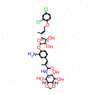 C/C(=C\c1ccc(O[C@@H]2O[C@H](/C(C)=C/COc3ccc(Cl)cc3Cl)[C@@H](O)[C@@H]2O)c(N)c1)C(=O)N[C@@H]1[C@H](O)[C@@H](O)[C@H]2OCO[C@H]2[C@@H]1O